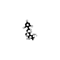 CC(C)(C)CN(CC(=O)c1c(Cl)cc(Cl)cc1Cl)C(=O)C(C=N)C(N)C(C)(F)F